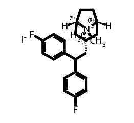 C[N+]1(C)[C@@H]2CC[C@H]1C[C@@H](CC(c1ccc(F)cc1)c1ccc(F)cc1)C2.[I-]